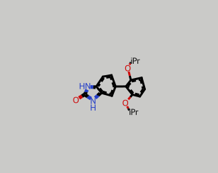 CC(C)Oc1cccc(OC(C)C)c1-c1ccc2[nH]c(=O)[nH]c2c1